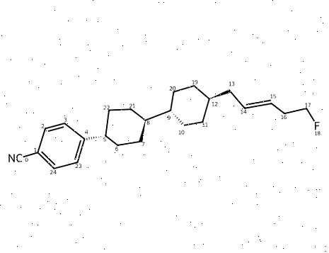 N#Cc1ccc([C@H]2CC[C@H]([C@H]3CC[C@H](CC=CCCF)CC3)CC2)cc1